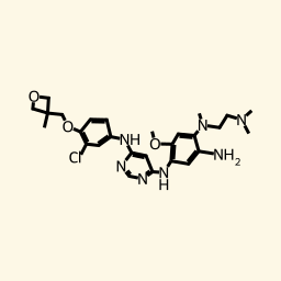 COc1cc(N(C)CCN(C)C)c(N)cc1Nc1cc(Nc2ccc(OCC3(C)COC3)c(Cl)c2)ncn1